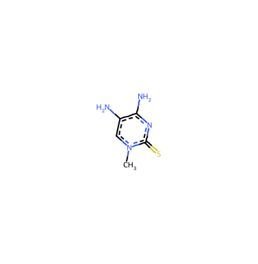 Cn1cc(N)c(N)nc1=S